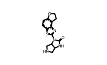 O=C1NC2CNCC2N1c1nc2c3c(ccc2s1)OCC3